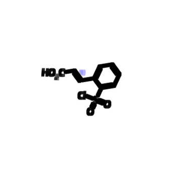 O=C(O)/C=C/c1ccccc1S(=O)(=O)Cl